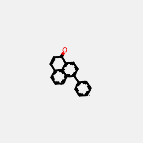 O=C1C=Cc2cccc3c(-c4cc[c]cc4)ccc1c23